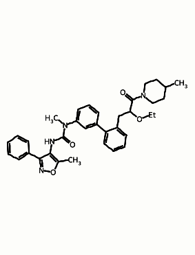 CCOC(Cc1ccccc1-c1cccc(N(C)C(=O)Nc2c(-c3ccccc3)noc2C)c1)C(=O)N1CCC(C)CC1